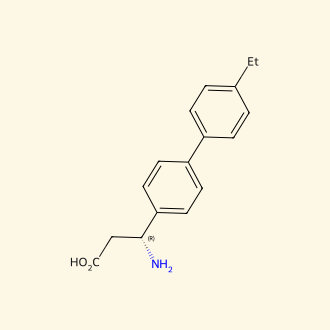 CCc1ccc(-c2ccc([C@H](N)CC(=O)O)cc2)cc1